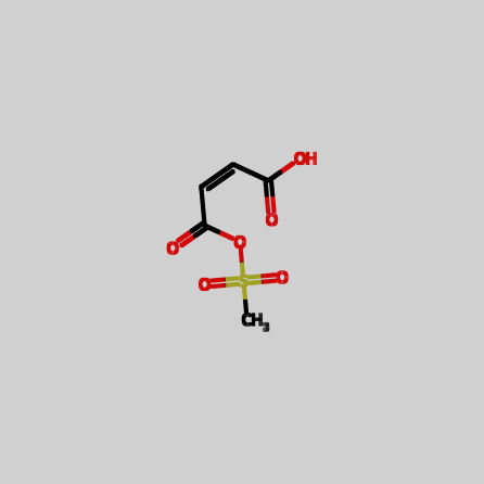 CS(=O)(=O)OC(=O)/C=C\C(=O)O